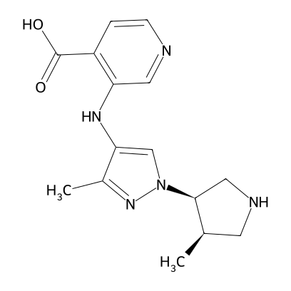 Cc1nn([C@H]2CNC[C@H]2C)cc1Nc1cnccc1C(=O)O